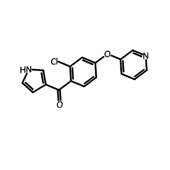 O=C(c1cc[nH]c1)c1ccc(Oc2cccnc2)cc1Cl